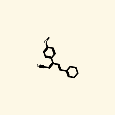 COc1ccc(C(=C\C#N)/C=C/C2=CCCCC2)cc1